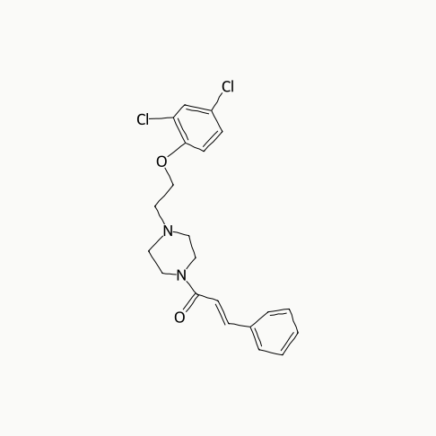 O=C(C=Cc1ccccc1)N1CCN(CCOc2ccc(Cl)cc2Cl)CC1